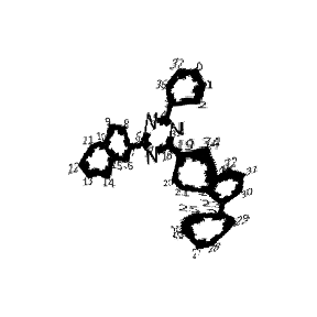 c1ccc(-c2nc(-c3ccc4ccccc4c3)nc(-c3ccc4c(-c5ccccc5)cccc4c3)n2)cc1